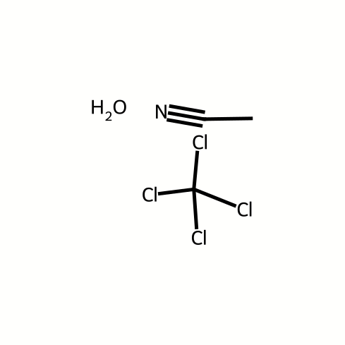 CC#N.ClC(Cl)(Cl)Cl.O